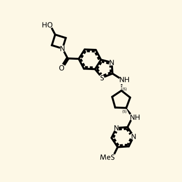 CSc1cnc(N[C@H]2CC[C@H](Nc3nc4ccc(C(=O)N5CC(O)C5)cc4s3)C2)nc1